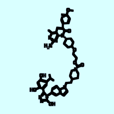 COc1ccc(-c2cc3c(C)nc(N)nc3n([C@H]3CC[C@H](OCCOC(=O)N4CCC(CCn5ccc6cc(-n7c(O)nnc7-c7cc(C(C)C)c(O)cc7O)ccc65)CC4)CC3)c2=O)cn1